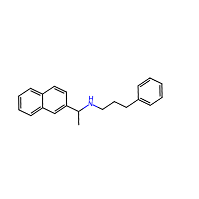 CC(NCCCc1ccccc1)c1ccc2ccccc2c1